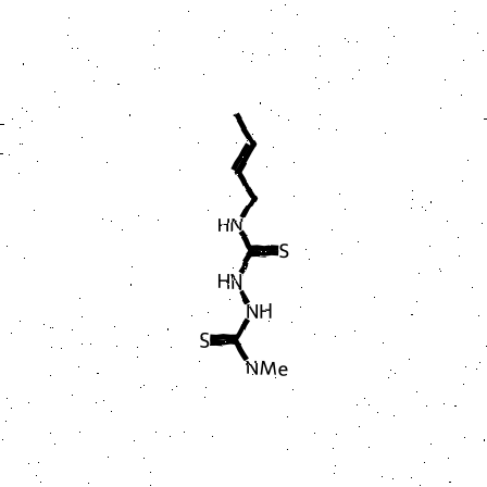 CC=CCNC(=S)NNC(=S)NC